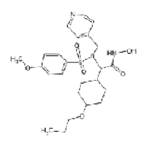 CCCOC1CCC(C(C(=O)NO)N(Cc2ccncc2)S(=O)(=O)c2ccc(OC)cc2)CC1